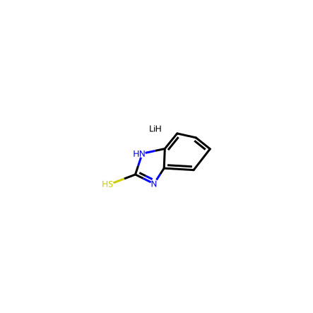 Sc1nc2ccccc2[nH]1.[LiH]